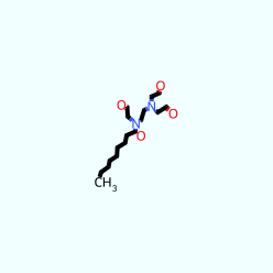 CCCCCCCCC(=O)N(CC=O)CCN(CC=O)CC=O